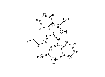 CCCc1ccccc1C(O)=S.OC(=S)c1ccccc1.c1ccccc1